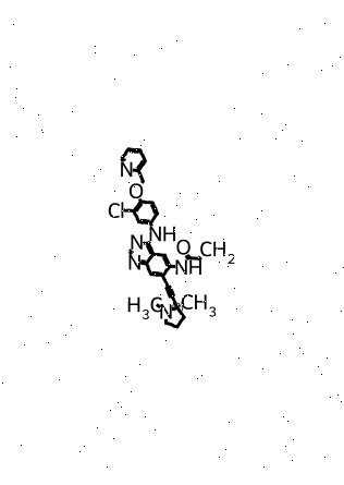 C=CC(=O)Nc1cc2c(Nc3ccc(OCc4ccccn4)c(Cl)c3)ncnc2cc1C#C[C@@]1(C)CCCN1C